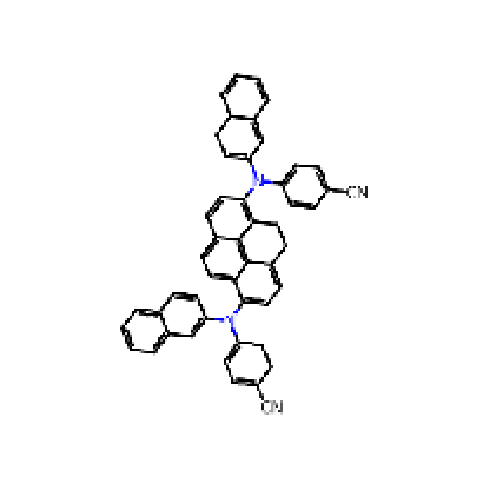 N#CC1=CC=C(N(c2ccc3ccccc3c2)c2ccc3c4c2ccc2ccc(N(C5=CCC6C=CC=CC6=C5)c5ccc(C#N)cc5)c(c24)CC3)CC1